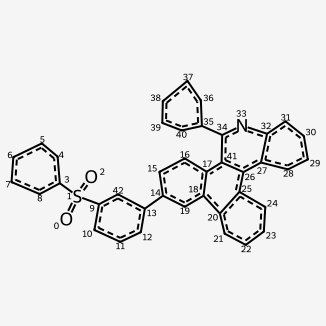 O=S(=O)(c1ccccc1)c1cccc(-c2ccc3c(c2)c2ccccc2c2c4ccccc4nc(-c4ccccc4)c32)c1